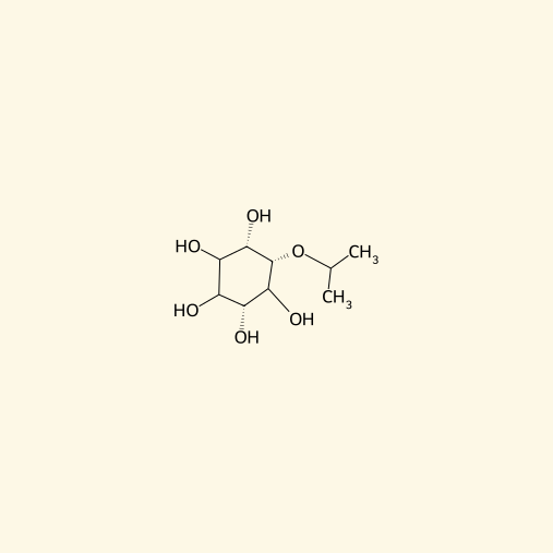 CC(C)O[C@@H]1C(O)[C@H](O)C(O)C(O)[C@@H]1O